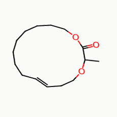 CC1OCC/C=C/CCCCCCCCOC1=O